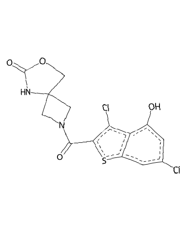 O=C1NC2(CO1)CN(C(=O)c1sc3cc(Cl)cc(O)c3c1Cl)C2